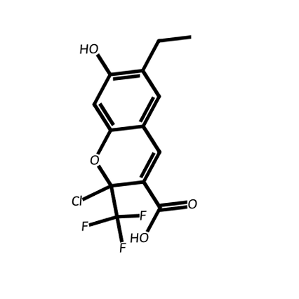 CCc1cc2c(cc1O)OC(Cl)(C(F)(F)F)C(C(=O)O)=C2